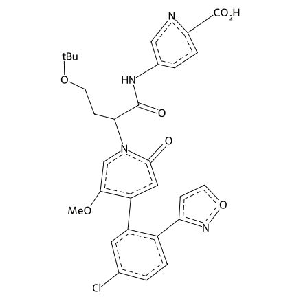 COc1cn(C(CCOC(C)(C)C)C(=O)Nc2ccc(C(=O)O)nc2)c(=O)cc1-c1cc(Cl)ccc1-c1ccon1